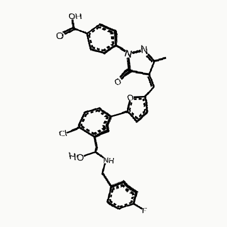 CC1=NN(c2ccc(C(=O)O)cc2)C(=O)/C1=C\c1ccc(-c2ccc(Cl)c(C(O)NCc3ccc(F)cc3)c2)o1